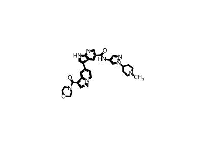 CN1CCC(n2cc(NC(=O)c3cnc4[nH]cc(-c5ccn6ncc(C(=O)N7CCOCC7)c6c5)c4c3)cn2)CC1